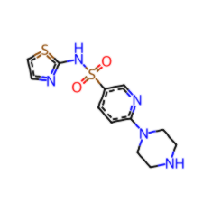 O=S(=O)(Nc1nccs1)c1ccc(N2CCNCC2)nc1